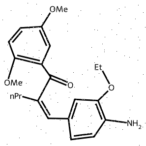 CCCC(=Cc1ccc(N)c(OCC)c1)C(=O)c1cc(OC)ccc1OC